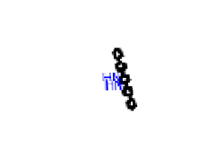 N=C1C(=N)C(c2ccc(-c3ccccc3)cc2)CC=C1c1ccc(-c2ccccc2)cc1